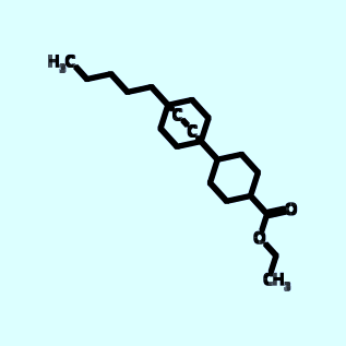 CCCCCC12CCC(C3CCC(C(=O)OCC)CC3)(CC1)CC2